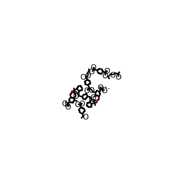 COC(C)COCC(C)OC(=O)c1ccc(C(=O)OC(C)COC(=O)c2ccc(C(=O)OCc3cc([N+](=O)[O-])cc4c3OC3(C=C4)N(Cc4ccc(CN5c6ccccc6C(C)(C)C56C=Cc5cc([N+](=O)[O-])cc(COC(=O)c7ccc(C(C)=O)cc7)c5O6)cc4)c4ccccc4C3(C)C)cc2)cc1